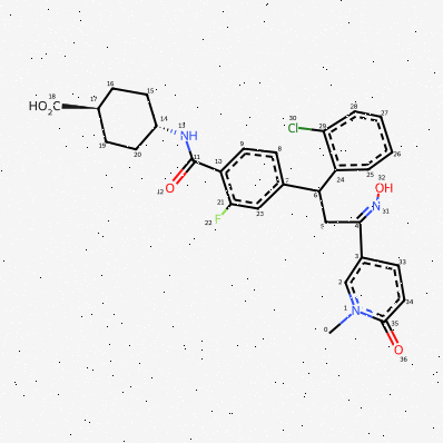 Cn1cc(/C(CC(c2ccc(C(=O)N[C@H]3CC[C@H](C(=O)O)CC3)c(F)c2)c2ccccc2Cl)=N/O)ccc1=O